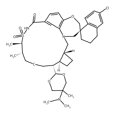 C[C@@H]1[C@@H](C)CCC[C@@H](C2OCC(C)(N(C)C)CO2)[C@@H]2CC[C@H]2CN2C[C@@]3(CCCc4cc(Cl)ccc43)COc3ccc(cc32)C(=O)NS1(=O)=O